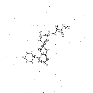 Cc1nc(N2CCOCC2)c2oc(-c3cc(C)n(CCNC(=O)CCl)n3)cc2n1